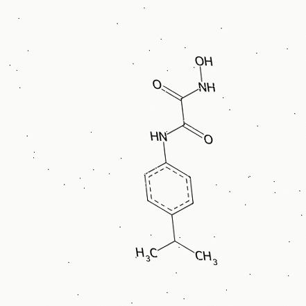 CC(C)c1ccc(NC(=O)C(=O)NO)cc1